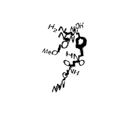 COCCOc1nc(N)c2nc(O)n(Cc3ccc(CNC(=O)CCC(=O)NCCOCCN=[N+]=[N-])cc3)c2n1